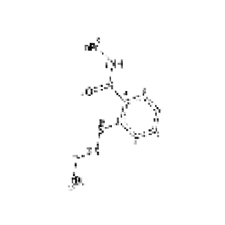 CCCNC(=O)c1ccccc1SSCC(C)(C)C